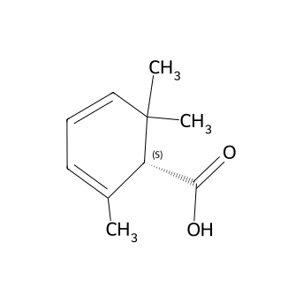 CC1=CC=CC(C)(C)[C@@H]1C(=O)O